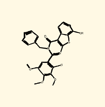 COc1cc(-c2nc3sc4c(O)cccc4c3c(=O)n2Cc2ccccc2)c(Cl)c(OC)c1OC